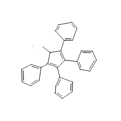 [SiH3]C1C(c2ccccc2)=C(c2ccccc2)C(c2ccccc2)=C1c1ccccc1